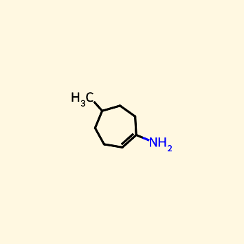 CC1CCC=C(N)CC1